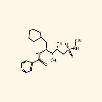 CCCCNS(=O)(=O)C[C@H](O)[C@H](O)[C@H](CC1CCCCC1)NC(=O)c1ccncc1